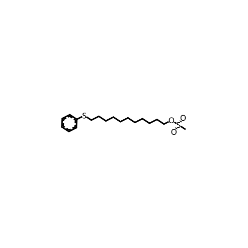 CS(=O)(=O)OCCCCCCCCCCCSc1ccccc1